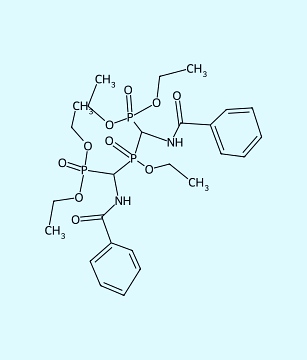 CCOP(=O)(OCC)C(NC(=O)c1ccccc1)P(=O)(OCC)C(NC(=O)c1ccccc1)P(=O)(OCC)OCC